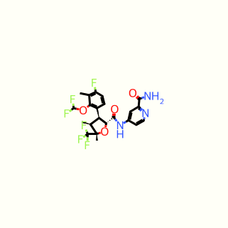 Cc1c(F)ccc([C@H]2[C@H](C(=O)Nc3ccnc(C(N)=O)c3)O[C@](C)(C(F)(F)F)[C@H]2C)c1OC(F)F